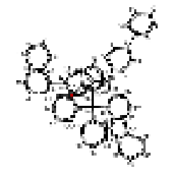 c1ccc(-c2ccc(N(c3ccc(-c4cccc5ccccc45)cc3)c3ccc4c(oc5ccccc54)c3C3(c4ccccc4)c4ccccc4-c4ccccc43)cc2)cc1